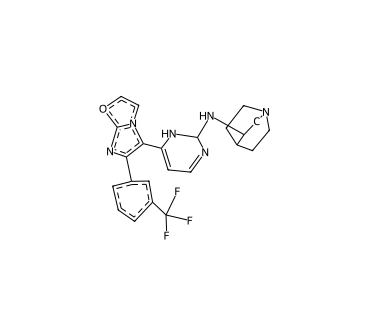 FC(F)(F)c1cccc(-c2nc3occn3c2C2=CC=NC(NC3CN4CCC3CC4)N2)c1